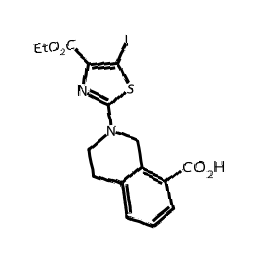 CCOC(=O)c1nc(N2CCc3cccc(C(=O)O)c3C2)sc1I